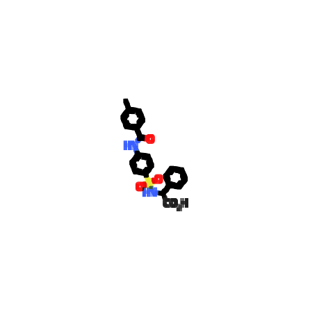 Cc1ccc(C(=O)Nc2ccc(S(=O)(=O)N[C@H](C(=O)O)c3ccccc3)cc2)cc1